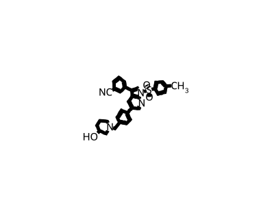 Cc1ccc(S(=O)(=O)n2cc(-c3cccc(C#N)c3)c3cc(-c4ccc(CN5CCCC(O)C5)cc4)cnc32)cc1